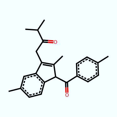 CC1=C(CC(=O)C(C)C)c2cc(C)ccc2C1C(=O)c1ccc(C)cc1